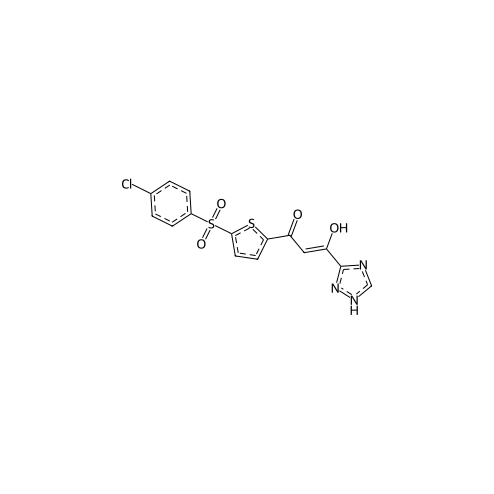 O=C(C=C(O)c1nc[nH]n1)c1ccc(S(=O)(=O)c2ccc(Cl)cc2)s1